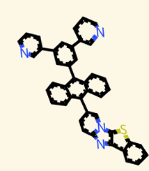 c1cncc(-c2cc(-c3cccnc3)cc(-c3c4ccccc4c(-c4ccc5nc6c7ccccc7sc6n5c4)c4ccccc34)c2)c1